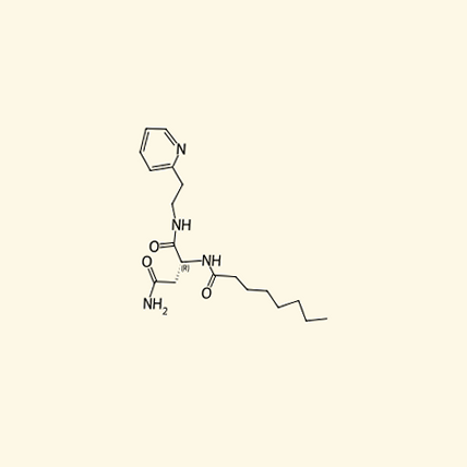 CCCCCCCC(=O)N[C@H](CC(N)=O)C(=O)NCCc1ccccn1